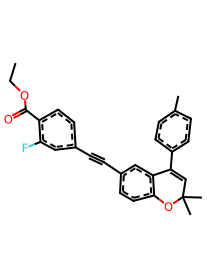 CCOC(=O)c1ccc(C#Cc2ccc3c(c2)C(c2ccc(C)cc2)=CC(C)(C)O3)cc1F